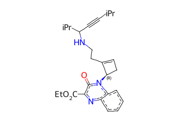 CCOC(=O)c1nc2ccccc2n([C@@H]2CC=C2CCNC(C#CC(C)C)C(C)C)c1=O